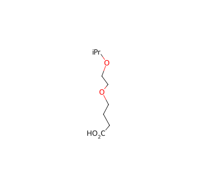 CC(C)OCCOCCCC(=O)O